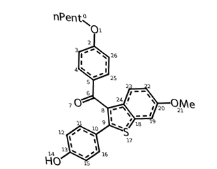 CCCCCOc1ccc(C(=O)c2c(-c3ccc(O)cc3)sc3cc(OC)ccc23)cc1